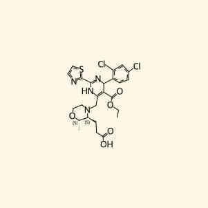 CCOC(=O)C1=C(CN2CCO[C@@H](C)[C@@H]2CCC(=O)O)NC(c2nccs2)=NC1c1ccc(Cl)cc1Cl